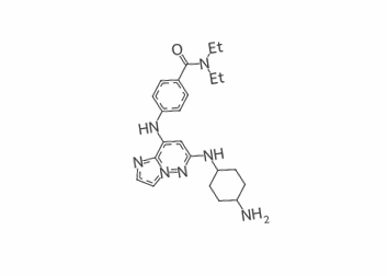 CCN(CC)C(=O)c1ccc(Nc2cc(NC3CCC(N)CC3)nn3ccnc23)cc1